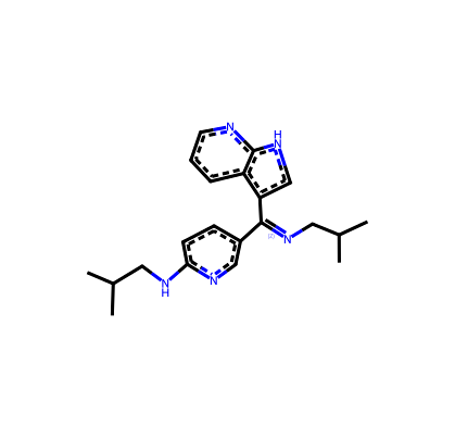 CC(C)C/N=C(/c1ccc(NCC(C)C)nc1)c1c[nH]c2ncccc12